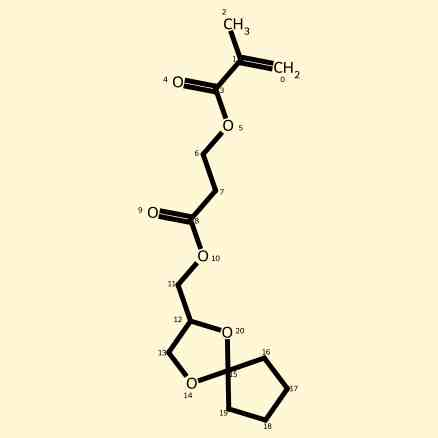 C=C(C)C(=O)OCCC(=O)OCC1COC2(CCCC2)O1